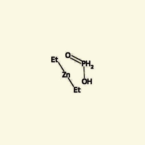 C[CH2][Zn][CH2]C.O=[PH2]O